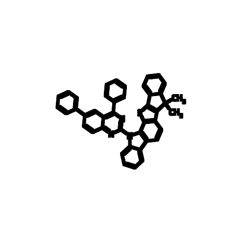 CC1(C)c2ccccc2-c2sc3c(ccc4c5ccccc5n(-c5nc(-c6ccccc6)c6cc(-c7ccccc7)ccc6n5)c43)c21